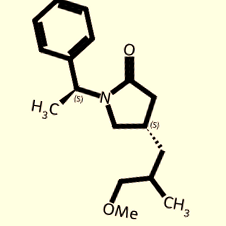 COCC(C)C[C@H]1CC(=O)N([C@@H](C)c2ccccc2)C1